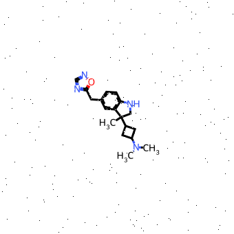 CN(C)C1CC(C2(C)CNc3ccc(Cc4ncno4)cc32)C1